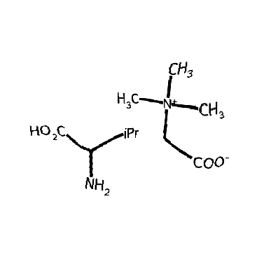 CC(C)C(N)C(=O)O.C[N+](C)(C)CC(=O)[O-]